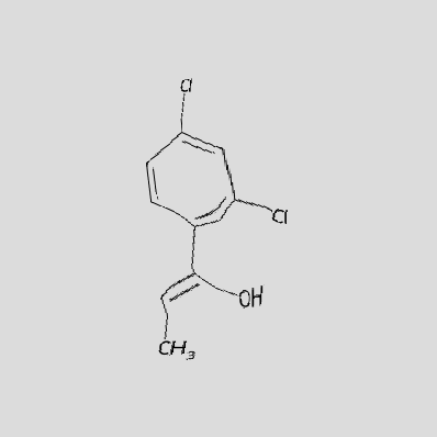 CC=C(O)c1ccc(Cl)cc1Cl